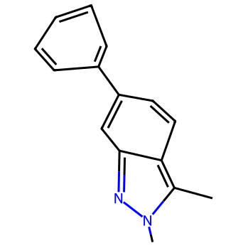 Cc1c2ccc(-c3ccccc3)cc2nn1C